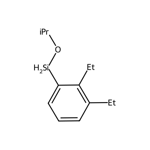 CCc1cccc([SiH2]OC(C)C)c1CC